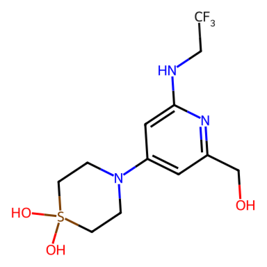 OCc1cc(N2CCS(O)(O)CC2)cc(NCC(F)(F)F)n1